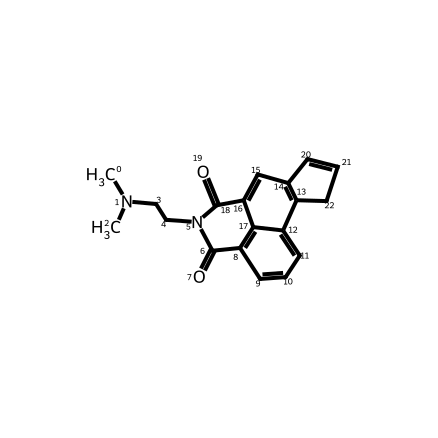 CN(C)CCN1C(=O)c2cccc3c4c(cc(c23)C1=O)C=CC4